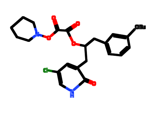 CC(C)COc1cccc(CC(Cc2cc(Cl)c[nH]c2=O)OC(=O)C(=O)ON2CCCCC2)c1